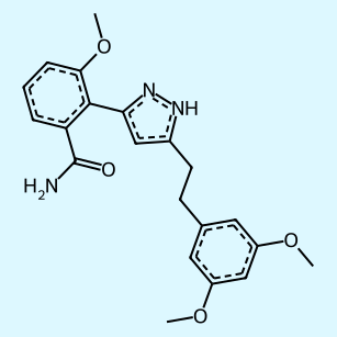 COc1cc(CCc2cc(-c3c(OC)cccc3C(N)=O)n[nH]2)cc(OC)c1